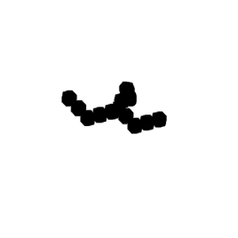 c1ccc(-c2ccc(-c3cccc(-c4ccc(-c5ccc(N(c6ccc(-c7cccc(-c8ccc(-c9ccccc9)cc8)c7)cc6)c6ccc7c(c6)oc6ccccc67)cc5)cc4)c3)cc2)cc1